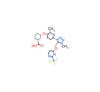 Cc1nc(-c2nnn(C)c2COc2ccnc(C(F)(F)F)n2)ccc1O[C@H]1CCC[C@H](C(=O)O)C1